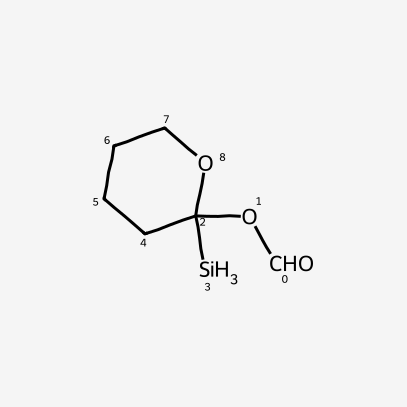 O=COC1([SiH3])CCCCO1